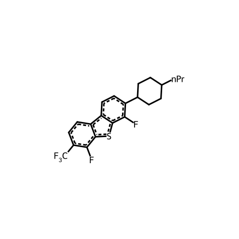 CCCC1CCC(c2ccc3c(sc4c(F)c(C(F)(F)F)ccc43)c2F)CC1